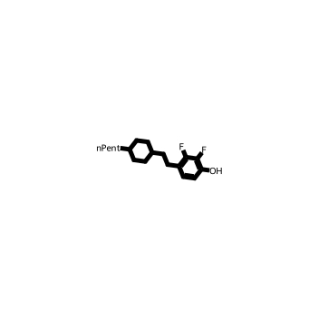 CCCCCC1CCC(CCc2ccc(O)c(F)c2F)CC1